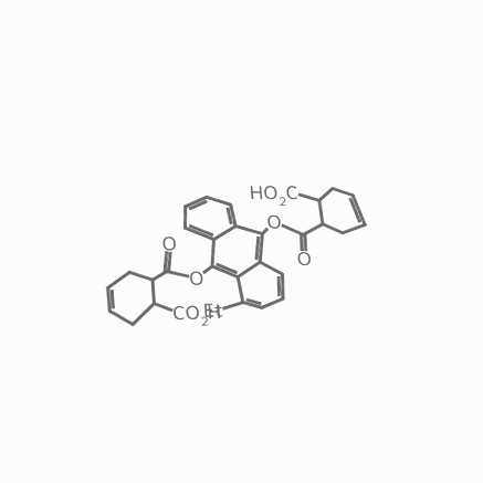 CCc1cccc2c(OC(=O)C3CC=CCC3C(=O)O)c3ccccc3c(OC(=O)C3CC=CCC3C(=O)O)c12